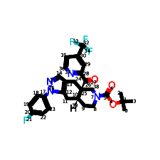 CC(C)(C)OC(=O)N1CC[C@H]2Cc3c(cnn3-c3ccc(F)cc3)C[C@]2(C(=O)c2cc(C(F)(F)F)ccn2)C1